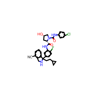 N#Cc1cccc2c1CNC2(CCC1CC1)c1ccc(F)c(NC(=O)[C@@H]2C[C@H](O)CN2C(=O)Nc2ccc(Cl)cc2)c1